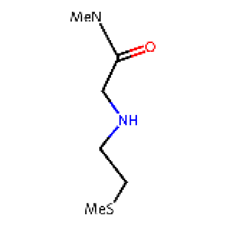 CNC(=O)CNCCSC